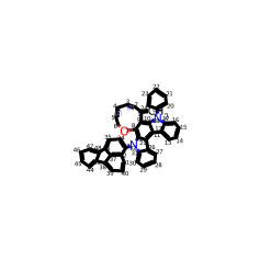 C=C1/C=C\C=C/COc2c1c1c(c3ccccc3n1-c1ccccc1)c1c3ccccc3n(-c3ccc4c5c(cccc35)-c3ccccc3-4)c21